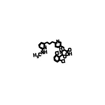 CNc1cccc(CCCc2ccc(C[C@H](NC(=O)c3c(Cl)cccc3Cl)C(=O)O)cn2)n1